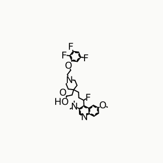 COc1ccc2ncc(N(C)C)c(C(F)CCC3(CC(=O)O)CCN(CCOc4cc(F)cc(F)c4F)CC3)c2c1